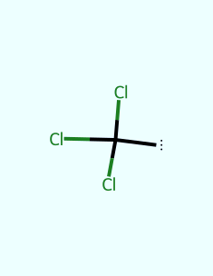 [C]C(Cl)(Cl)Cl